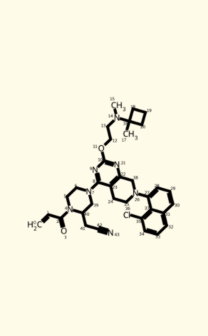 C=CC(=O)N1CCN(c2nc(OCCN(C)C3(C)CCC3)nc3c2CCN(c2cccc4cccc(Cl)c24)C3)CC1CC#N